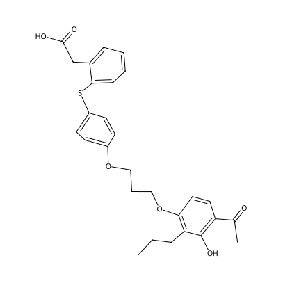 CCCc1c(OCCCOc2ccc(Sc3ccccc3CC(=O)O)cc2)ccc(C(C)=O)c1O